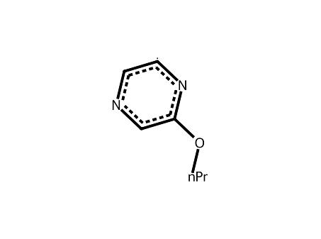 CCCOc1cnc[c]n1